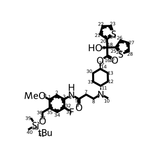 COc1cc(NC(=O)CCN(C)[C@H]2CC[C@H](OC(=O)C(O)(c3cccs3)c3cccs3)CC2)c(F)cc1CO[Si](C)(C)C(C)(C)C